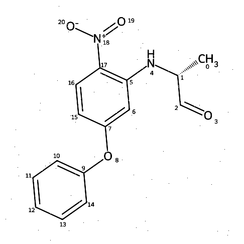 C[C@H](C=O)Nc1cc(Oc2ccccc2)ccc1[N+](=O)[O-]